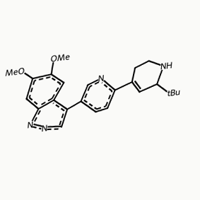 COc1cc2nncc(-c3ccc(C4=CC(C(C)(C)C)NCC4)nc3)c2cc1OC